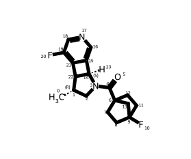 C[C@H]1CN(C(=O)C23CCC(F)(CC2)C3)[C@@H]2c3cncc(F)c3C21